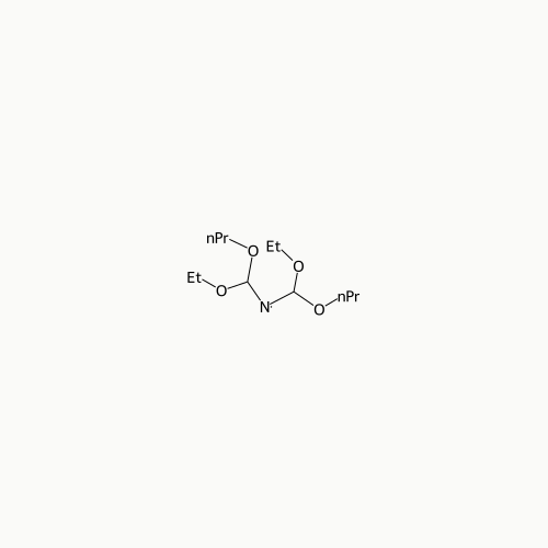 CCCOC([N]C(OCC)OCCC)OCC